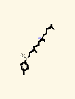 CC(C)=CCC/C(C)=C/CC/C(C)=C/C[S+]([O-])c1ccc(C)cc1